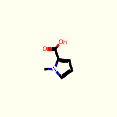 Cn1c[c]cc1C(=O)O